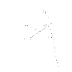 CCCCCCCCCCCCCCCCOC(=O)CCSCCC(NC(=O)CCCCC(CCSCCC(=O)O)SCCC(=O)O)C(=O)NCCCn1ccnc1